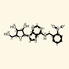 O=[N+]([O-])c1ccccc1CNc1ncnc2c1ncn2C1OC(CO)C(O)C1O